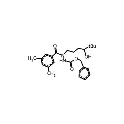 Cc1cc(C)cc(C(=O)N(CCCC(O)C(C)(C)C)NC(=O)OCc2ccccc2)c1